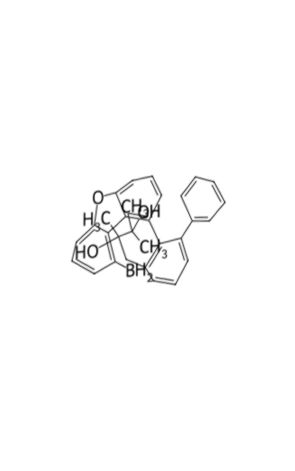 Bc1cccc2oc3cccc(-c4c(CC(C)(O)C(C)(C)O)cccc4-c4ccccc4)c3c12